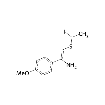 COc1ccc(/C(N)=C/SC(C)I)cc1